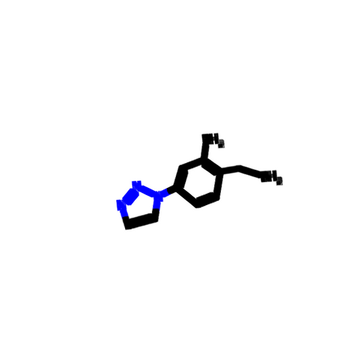 BCc1ccc(-n2ccnn2)cc1B